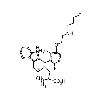 Cc1c(OCCNCCCF)ccc(F)c1C1c2[nH]c3ccccc3c2C[C@@H](C)N1CC(C)C(=O)O